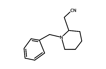 N#CCC1CCCCN1Cc1ccccc1